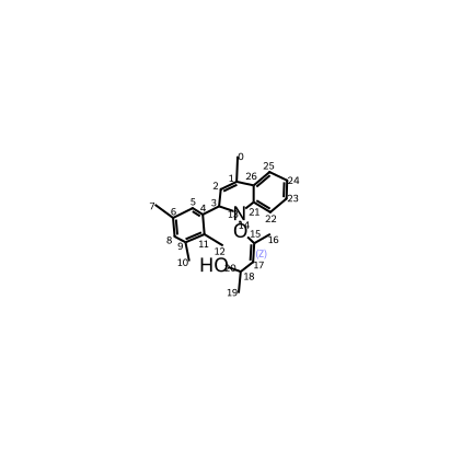 CC1=CC(c2cc(C)cc(C)c2C)N(O/C(C)=C\C(C)O)c2ccccc21